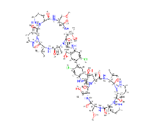 COC[C@@H]1NC(=O)C2CCCNN2C(=O)[C@@H]2CCCNN2C(=O)C(C(C)C)NC(=O)[C@@H]2C[C@@]3(O)c4cc(-c5cc6c(cc5Cl)N[C@H]5N7C(=O)[C@@H]([C@H](C)O)NC(=O)[C@H](COC)NC(=O)[C@H]8CCCNN8C(=O)[C@@H]8CCCNN8C(=O)[C@@H](C(C)C)NC(=O)[C@@H]7C[C@@]65O)c(Cl)cc4N[C@H]3N2C(=O)[C@@H]([C@H](C)O)NC1=O